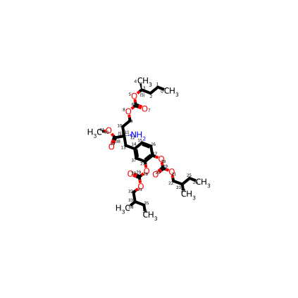 CCC[C@H](C)OC(=O)OCC[C@@](N)(Cc1ccc(OC(=O)OCC(C)CC)c(OC(=O)OCC(C)CC)c1)C(=O)OC